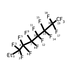 C[CH]C(F)(F)C(F)(F)C(F)(F)C(F)(F)C(F)(F)C(F)(F)C(F)(F)F